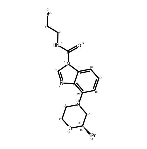 CC(C)CCNC(=O)n1cnc2c(N3CCO[C@H](C(C)C)C3)cccc21